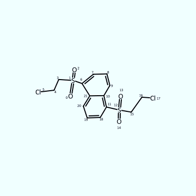 O=S(=O)(CCCl)c1cccc2c(S(=O)(=O)CCCl)cccc12